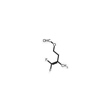 CC(CCOC=O)=C(F)F